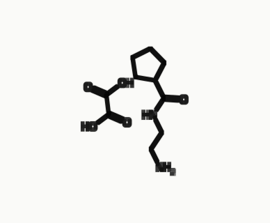 NCCNC(=O)C1CCCC1.O=C(O)C(=O)O